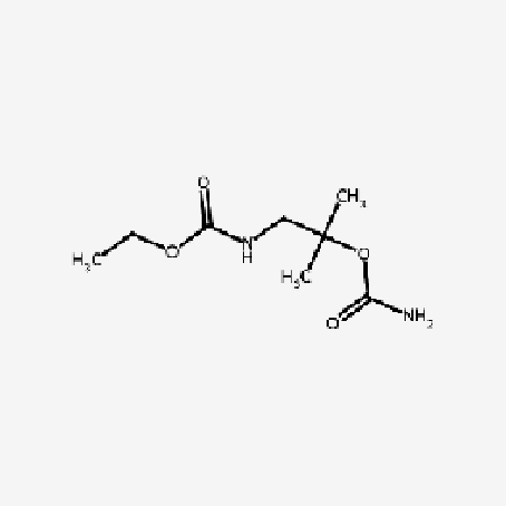 CCOC(=O)NCC(C)(C)OC(N)=O